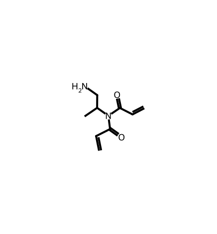 C=CC(=O)N(C(=O)C=C)C(C)CN